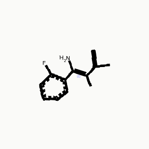 C=C(C)/C(C)=C(\N)c1ccccc1F